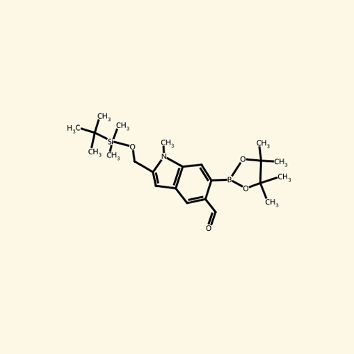 Cn1c(CO[Si](C)(C)C(C)(C)C)cc2cc(C=O)c(B3OC(C)(C)C(C)(C)O3)cc21